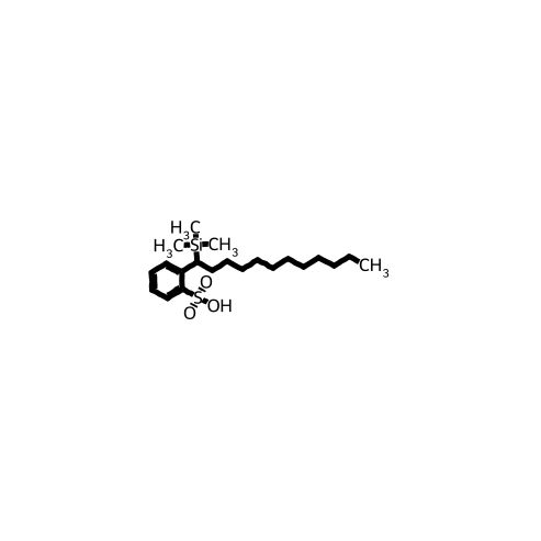 CCCCCCCCCCCC(c1ccccc1S(=O)(=O)O)[Si](C)(C)C